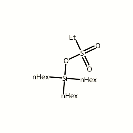 CCCCCC[Si](CCCCCC)(CCCCCC)OS(=O)(=O)CC